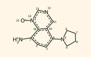 Nc1ccc(N2CCCC2)c2cnc[n+]([O-])c12